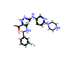 CC(=O)c1nnc(Nc2ccc(N3CCNCC3)nc2)cc1NCc1cccc(F)c1